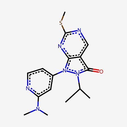 CSc1ncc2c(=O)n(C(C)C)n(-c3ccnc(N(C)C)c3)c2n1